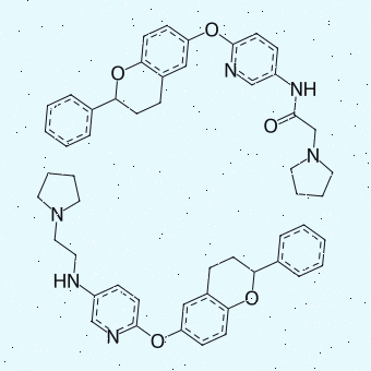 O=C(CN1CCCC1)Nc1ccc(Oc2ccc3c(c2)CCC(c2ccccc2)O3)nc1.c1ccc(C2CCc3cc(Oc4ccc(NCCN5CCCC5)cn4)ccc3O2)cc1